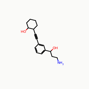 NCCC(O)c1cccc(C#CC2CCCCC2O)c1